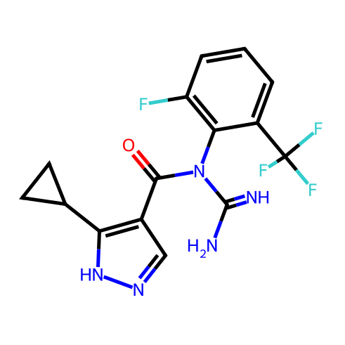 N=C(N)N(C(=O)c1cn[nH]c1C1CC1)c1c(F)cccc1C(F)(F)F